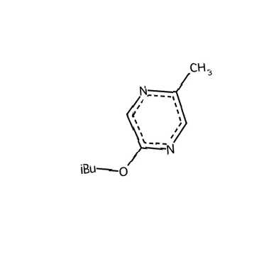 CCC(C)Oc1cnc(C)cn1